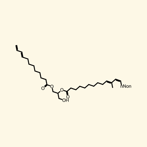 C=C/C=C/CCCCCCCC(=O)OCC(CO)OC(=O)CCCCCCCC/C=C(C)/C=C\CCCCCCCCC